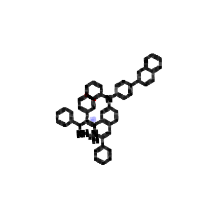 NC(/C(=C1\NC(c2ccccc2)=Cc2ccc(N(c3ccccc3)c3ccc(-c4ccc5ccccc5c4)cc3)cc21)c1ccccc1)c1ccccc1